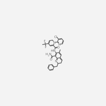 Cc1cc2c(c(C(N)=O)c1NC(=O)C1=CC(C(C)(F)F)=CCN1c1ncccc1Cl)=NC(Cc1ccccc1)CC=2